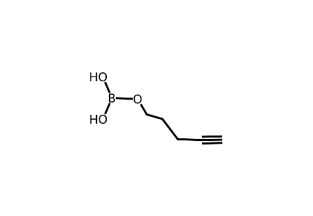 C#CCCCOB(O)O